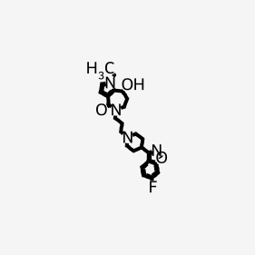 CCn1ccc2c1C(O)CCN(CCCN1CCC(c3noc4cc(F)ccc34)CC1)C2=O